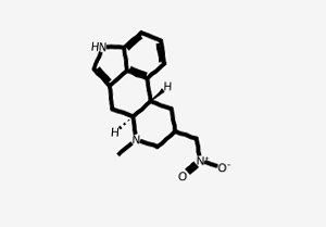 CN1CC(C[N+](=O)[O-])C[C@H]2c3cccc4[nH]cc(c34)C[C@@H]21